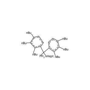 CCCCCCCC(P)(c1ccc(CCCC)c(CCCC)c1CCCC)c1ccc(CCCC)c(CCCC)c1CCCC